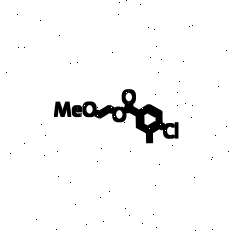 COCCOC(=O)c1ccc(Cl)c(C)c1